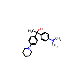 CN(C)c1ccc(C(C)(O)c2ccc(N3CCCCC3)cc2)cc1